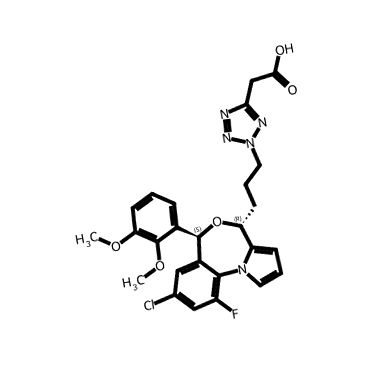 COc1cccc([C@H]2O[C@H](CCCn3nnc(CC(=O)O)n3)c3cccn3-c3c(F)cc(Cl)cc32)c1OC